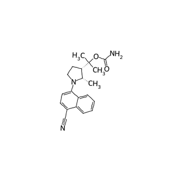 C[C@H]1[C@@H](C(C)(C)OC(N)=O)CCN1c1ccc(C#N)c2ccccc12